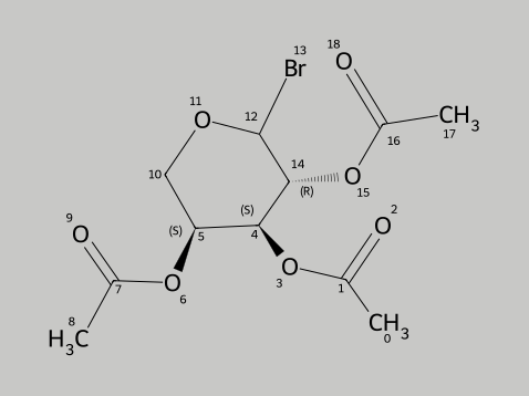 CC(=O)O[C@H]1[C@@H](OC(C)=O)COC(Br)[C@@H]1OC(C)=O